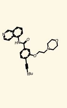 CC(C)(C)C#Cc1ccc(C(=O)Nc2cccc3cnccc23)cc1OCCN1CCOCC1